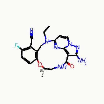 CCN1Cc2c(ccc(F)c2C#N)O[C@@H](C)CNC(=O)c2c(N)nn3ccc1nc23